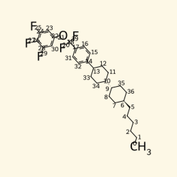 CCCCCC[C@H]1CC[C@H](C2CCC(c3ccc(C(F)(F)Oc4cc(F)c(F)c(F)c4)cc3)CC2)CC1